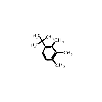 Cc1ccc(C(C)(C)C)c(C)c1C